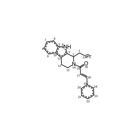 CC(C)CC1c2[nH]c3ccccc3c2CCN1C(=O)/C=C/c1ccccc1